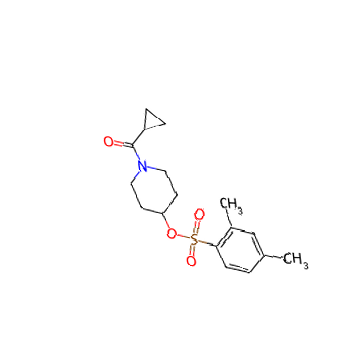 Cc1ccc(S(=O)(=O)OC2CCN(C(=O)C3CC3)CC2)c(C)c1